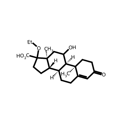 CCOC1(C(=O)O)CC[C@H]2[C@@H]3CCC4=CC(=O)CC[C@]4(C)[C@@H]3C(O)C[C@@]21C